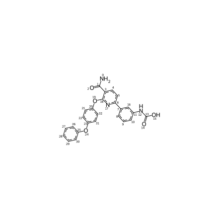 NC(=O)c1ccc(-c2cccc(NC(=O)O)c2)nc1Oc1ccc(Oc2ccccc2)cc1